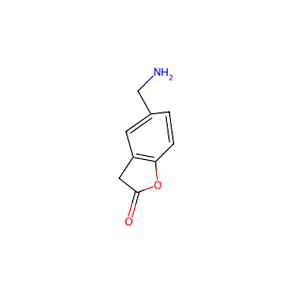 NCc1ccc2c(c1)CC(=O)O2